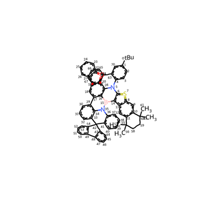 CC(C)(C)c1ccc(N2c3sc4cc5c(cc4c3B3c4c(cc6c(oc7ccccc76)c42)-c2cccc4c2N3c2ccccc2C42c3ccccc3-c3ccccc32)C(C)(C)CCC5(C)C)c(-c2ccccc2)c1